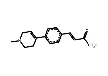 CN1CC=C(c2ccc(/C=C/C(=O)C(=O)O)cc2)CC1